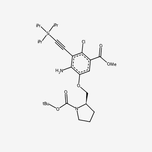 COC(=O)c1cc(OC[C@H]2CCCN2C(=O)OC(C)(C)C)c(N)c(C#C[Si](C(C)C)(C(C)C)C(C)C)c1Cl